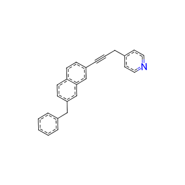 C(#Cc1ccc2ccc(Cc3ccccc3)cc2c1)Cc1ccncc1